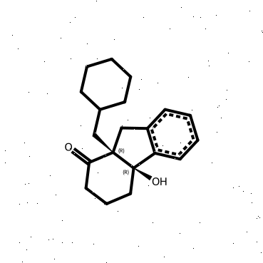 O=C1CCC[C@@]2(O)c3ccccc3C[C@@]12CC1CCCCC1